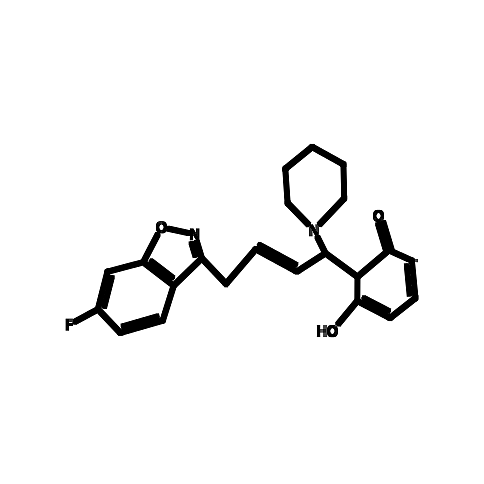 O=C1[C]=CC=C(O)C1C(C=CCc1noc2cc(F)ccc12)N1CCCCC1